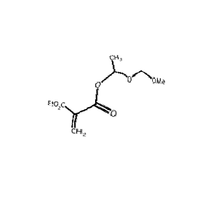 C=C(C(=O)OCC)C(=O)OC(C)OCOC